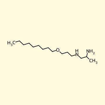 CCCCCCCCCOCCCNCC(C)N